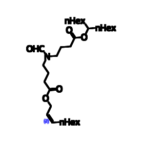 CCCCCC/C=C\COC(=O)CCCN(C=O)CCCC(=O)OC(CCCCCC)CCCCCC